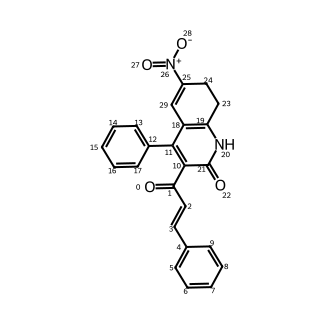 O=C(C=Cc1ccccc1)c1c(-c2ccccc2)c2c([nH]c1=O)CCC([N+](=O)[O-])=C2